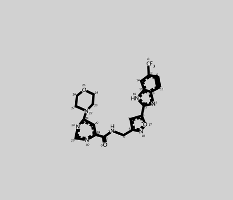 O=C(NCc1cc(-c2nc3c#cc(C(F)(F)F)cc3[nH]2)on1)c1cc(N2CCOCC2)ncn1